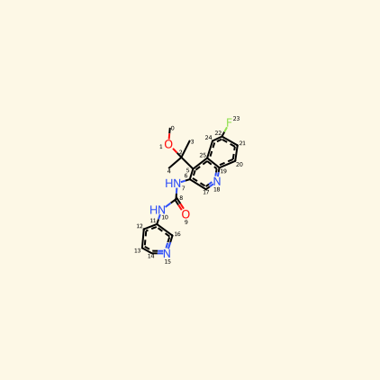 COC(C)(C)c1c(NC(=O)Nc2cccnc2)cnc2ccc(F)cc12